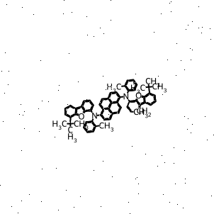 C=c1/c(=C(\C=C/C)N(c2ccccc2C)c2ccc3ccc4c(N(c5ccccc5C)c5cccc6c5oc5c(C(C)(C)C)cccc56)ccc5ccc2c3c54)oc2c(C(C)(C)C)cccc12